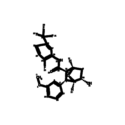 COc1cc([C@H]2[C@H]3O[C@H](C[C@@H]3O)[C@@H]2C(=O)Nc2cc(C(F)(F)F)ccc2F)ccn1